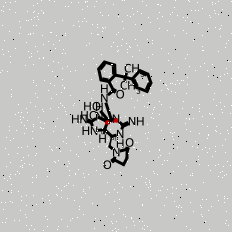 CC(C)(c1ccccc1)c1ccccc1C(=O)NC1CN2C(=N)N[C@@H](CN3C(=O)CCC3=O)[C@@H]3NC(=N)NC32C1(O)O